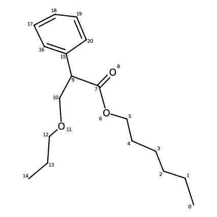 CCCCCCOC(=O)C(COCCC)c1ccccc1